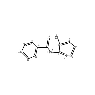 O=C(Nc1nccnc1Cl)c1ccncc1